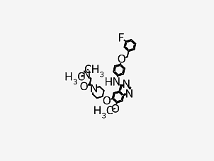 COc1cc2ncnc(Nc3ccc(OCc4cccc(F)c4)cc3)c2cc1OC1CCN(C(=O)CN(C)C)CC1